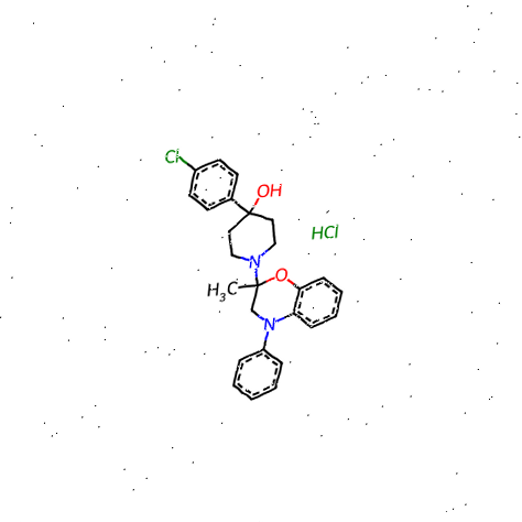 CC1(N2CCC(O)(c3ccc(Cl)cc3)CC2)CN(c2ccccc2)c2ccccc2O1.Cl